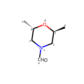 C[C@H]1CN(C=O)C[C@H](C)O1